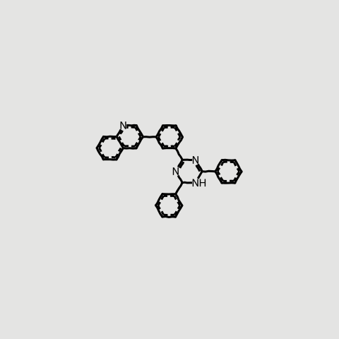 c1ccc(C2=NC(c3cccc(-c4cnc5ccccc5c4)c3)=NC(c3ccccc3)N2)cc1